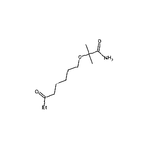 CCC(=O)CCCCCOC(C)(C)C(N)=O